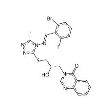 Cc1nnc(SCC(O)Cn2cnc3ccccc3c2=O)n1N=Cc1c(F)cccc1Br